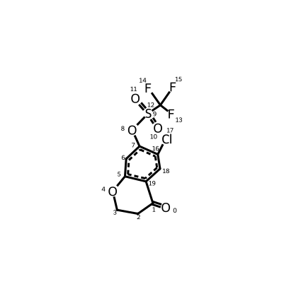 O=C1CCOc2cc(OS(=O)(=O)C(F)(F)F)c(Cl)cc21